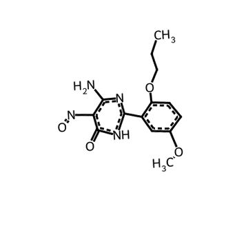 CCCOc1ccc(OC)cc1-c1nc(N)c(N=O)c(=O)[nH]1